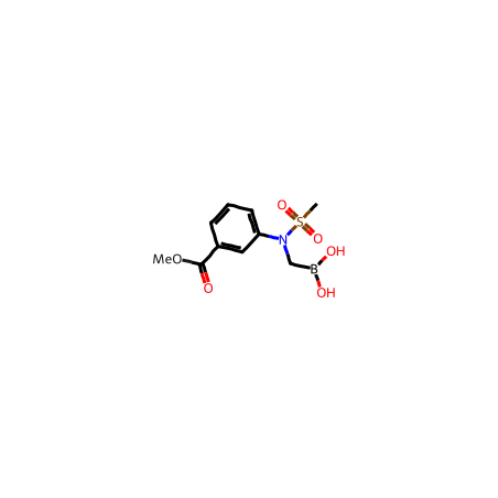 COC(=O)c1cccc(N(CB(O)O)S(C)(=O)=O)c1